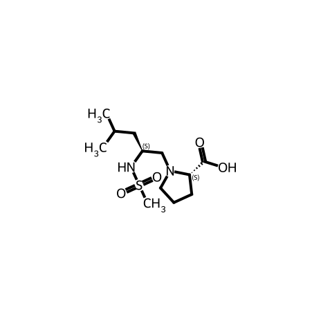 CC(C)C[C@@H](CN1CCC[C@H]1C(=O)O)NS(C)(=O)=O